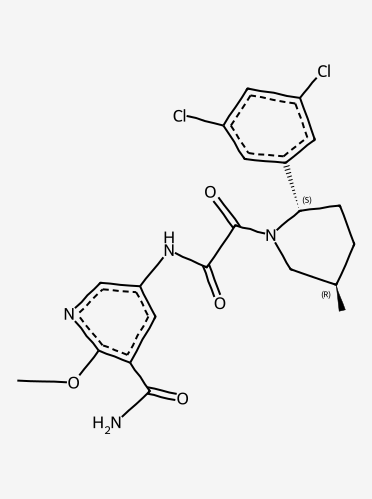 COc1ncc(NC(=O)C(=O)N2C[C@H](C)CC[C@H]2c2cc(Cl)cc(Cl)c2)cc1C(N)=O